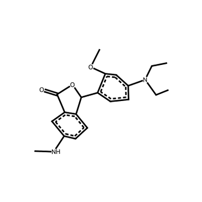 CCN(CC)c1ccc(C2OC(=O)c3cc(NC)ccc32)c(OC)c1